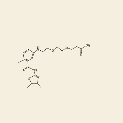 Cc1ccc(NCCOCCOCCC(=O)O)cc1C(=O)NC1=NC(C)C(C)S1